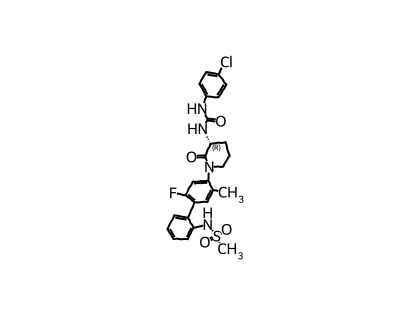 Cc1cc(-c2ccccc2NS(C)(=O)=O)c(F)cc1N1CCC[C@@H](NC(=O)Nc2ccc(Cl)cc2)C1=O